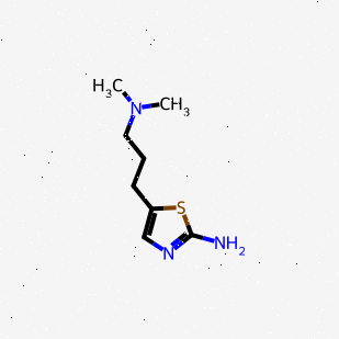 CN(C)CCCc1cnc(N)s1